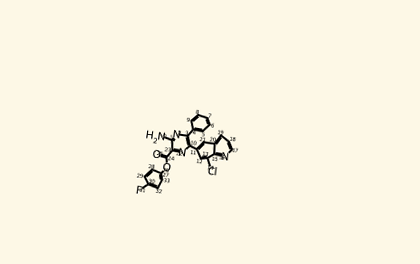 Nc1nc(-c2ccccc2)c(-c2cc(Cl)c3ncccc3c2)nc1C(=O)Oc1ccc(F)cc1